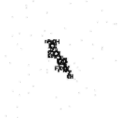 C#CCn1cc(-c2cnc3c(Cc4ccc(C(=O)N5CCC(O)(CCC)CC5)c(CC)c4)nccn23)c(C(F)(F)F)n1